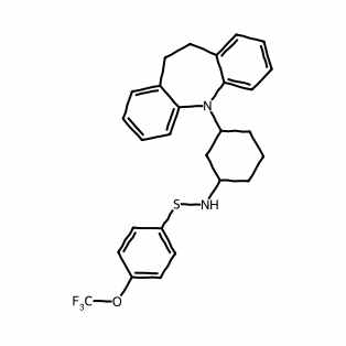 FC(F)(F)Oc1ccc(SNC2CCCC(N3c4ccccc4CCc4ccccc43)C2)cc1